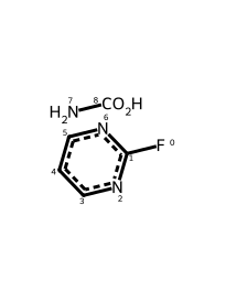 Fc1ncccn1.NC(=O)O